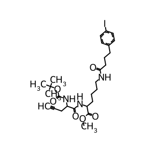 C#CCC(NC(=O)OC(C)(C)C)C(=O)NC(CCCCNC(=O)CCCc1ccc(I)cc1)C(=O)OC